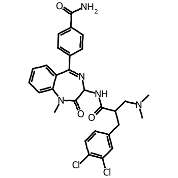 CN(C)CC(Cc1ccc(Cl)c(Cl)c1)C(=O)NC1N=C(c2ccc(C(N)=O)cc2)c2ccccc2N(C)C1=O